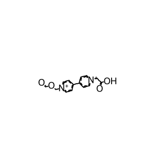 O=COC[n+]1ccc(-c2cc[n+](CC(=O)O)cc2)cc1